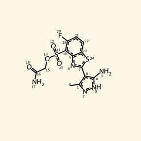 Cc1n[nH]c(N)c1-c1nc2c(S(=O)(=O)OCC(N)=O)c(F)ccc2s1